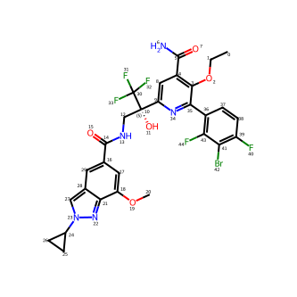 CCOc1c(C(N)=O)cc([C@@](O)(CNC(=O)c2cc(OC)c3nn(C4CC4)cc3c2)C(F)(F)F)nc1-c1ccc(F)c(Br)c1F